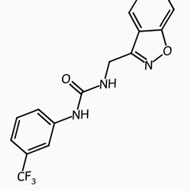 O=C(NCc1noc2ccccc12)Nc1cccc(C(F)(F)F)c1